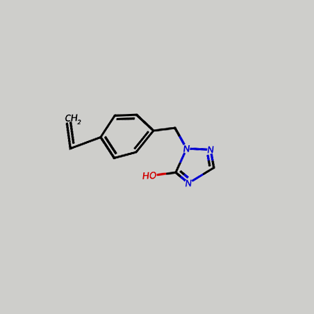 C=Cc1ccc(Cn2ncnc2O)cc1